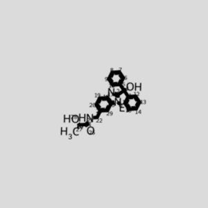 CCn1c(C(O)(c2ccccc2)c2ccccc2)nc2ccc(CNC(=O)[C@H](C)O)cc21